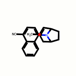 CC1=CC2CCC(C1)N2c1ccc(C#N)c2ccccc12